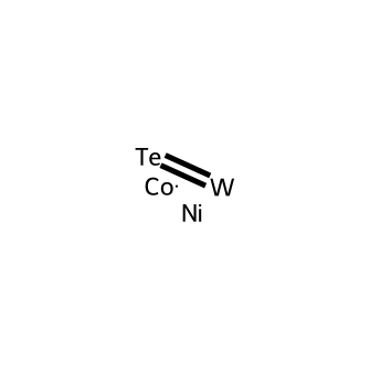 [Co].[Ni].[Te]=[W]